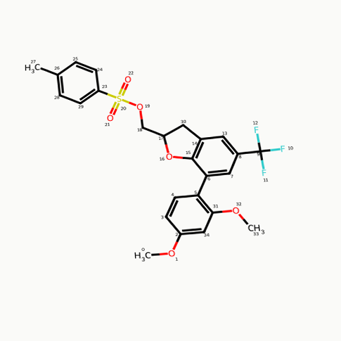 COc1ccc(-c2cc(C(F)(F)F)cc3c2OC(COS(=O)(=O)c2ccc(C)cc2)C3)c(OC)c1